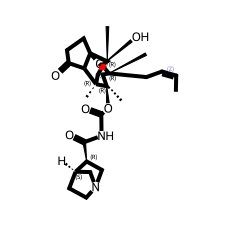 C/C=C\C[C@]1(C)C[C@@H](OC(=O)NC(=O)[C@H]2CN3CC[C@@H]2C3)[C@@]2(C)C3C(=O)CCC3(CC[C@H]2C)[C@@H](C)[C@@H]1O